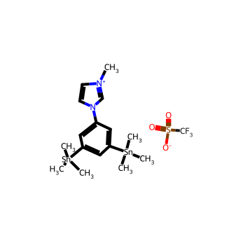 C[n+]1ccn(-c2c[c]([Sn]([CH3])([CH3])[CH3])c[c]([Sn]([CH3])([CH3])[CH3])c2)c1.O=S(=O)([O-])C(F)(F)F